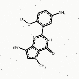 CCCc1cn(C)c2c(=O)[nH]c(-c3cc(N)ccc3OCC)nc12